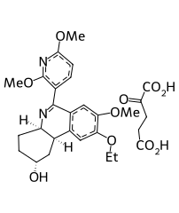 CCOc1cc2c(cc1OC)C(c1ccc(OC)nc1OC)=N[C@@H]1CC[C@@H](O)C[C@H]21.O=C(O)CCC(=O)C(=O)O